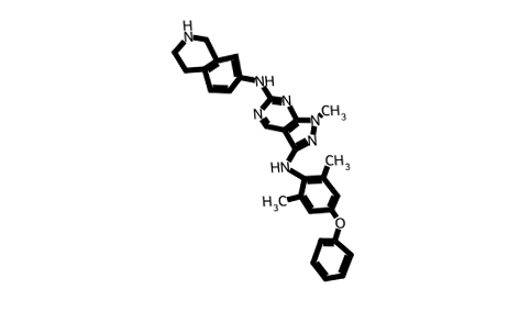 Cc1cc(Oc2ccccc2)cc(C)c1Nc1nn(C)c2nc(Nc3ccc4c(c3)CNCC4)ncc12